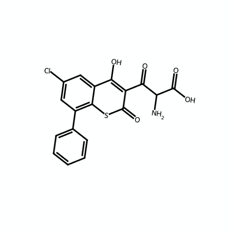 NC(C(=O)O)C(=O)c1c(O)c2cc(Cl)cc(-c3ccccc3)c2sc1=O